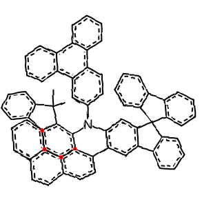 CC1(C)c2ccccc2-c2cccc(N(c3ccc4c5ccccc5c5ccccc5c4c3)c3cc4c(cc3-c3ccc5ccc6ccccc6c5c3)-c3ccccc3C43c4ccccc4-c4ccccc43)c21